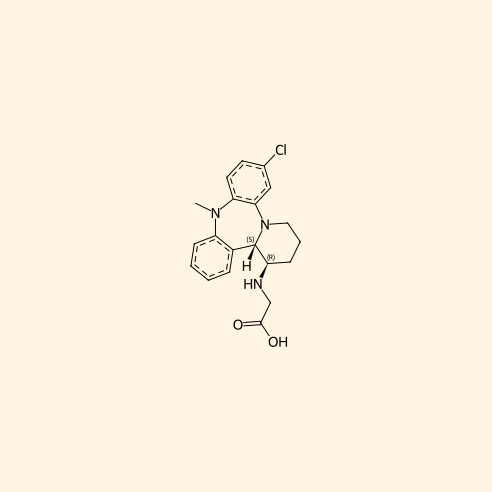 CN1c2ccccc2[C@H]2[C@H](NCC(=O)O)CCCN2c2cc(Cl)ccc21